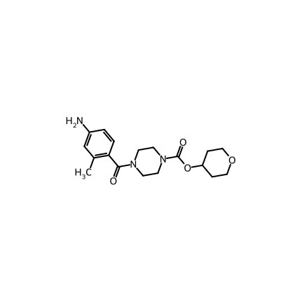 Cc1cc(N)ccc1C(=O)N1CCN(C(=O)OC2CCOCC2)CC1